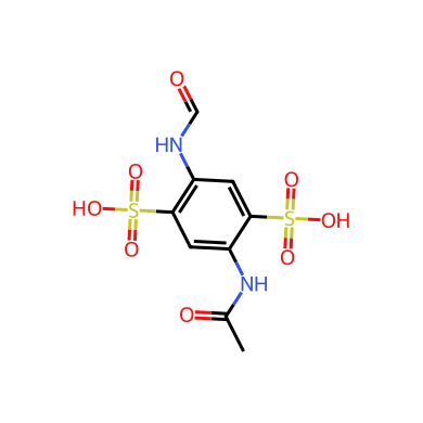 CC(=O)Nc1cc(S(=O)(=O)O)c(NC=O)cc1S(=O)(=O)O